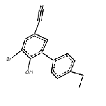 CCc1ccc(-c2cc(C#N)cc(Br)c2O)cc1